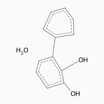 O.Oc1cccc(-c2ccccc2)c1O